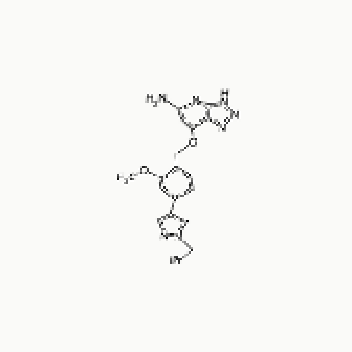 CC(C)Cn1cc(-c2ccc(COc3cc(N)nc4[nH]nnc34)c(OC(F)(F)F)c2)cn1